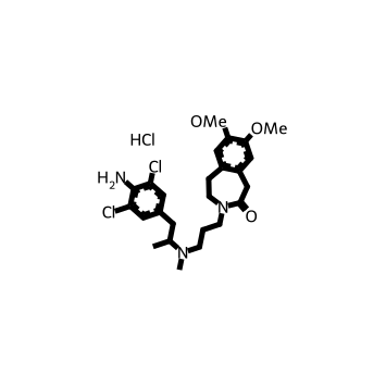 COc1cc2c(cc1OC)CC(=O)N(CCCN(C)C(C)Cc1cc(Cl)c(N)c(Cl)c1)CC2.Cl